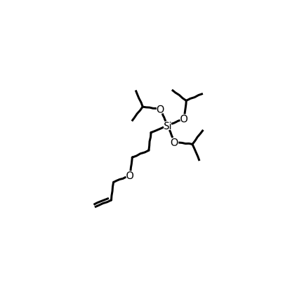 C=CCOCCC[Si](OC(C)C)(OC(C)C)OC(C)C